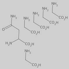 NC(=O)CC(N)C(=O)O.NCC(=O)O.NCC(=O)O.NCC(=O)O.NCC(=O)O.NCC(=O)O